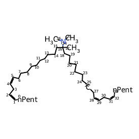 CCCCC/C=C\C/C=C\CCCCCCCCCCC(C)(CCCCCCCCCC/C=C\C/C=C\CCCCC)N(C)C